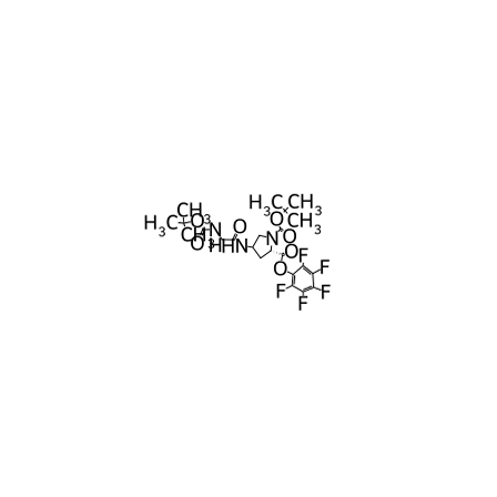 CC(C)(C)OC(=O)NCC(=O)NC1C[C@@H](C(=O)Oc2c(F)c(F)c(F)c(F)c2F)N(C(=O)OC(C)(C)C)C1